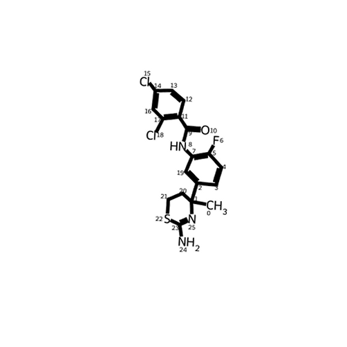 CC1(c2ccc(F)c(NC(=O)c3ccc(Cl)cc3Cl)c2)CCSC(N)=N1